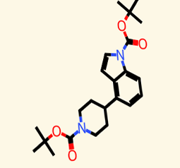 CC(C)(C)OC(=O)N1CCC(c2cccc3c2ccn3C(=O)OC(C)(C)C)CC1